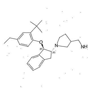 CCc1ccc(O[C@@H]2c3ccccc3C[C@H]2N2CCC(CN)C2)c(C(C)(C)C)c1